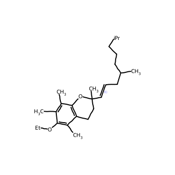 CCOc1c(C)c(C)c2c(c1C)CCC(C)(/C=C/CC(C)CCCC(C)C)O2